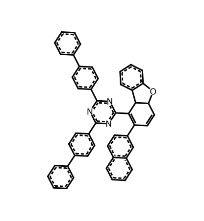 C1=CC2Oc3ccccc3C2C(c2nc(-c3ccc(-c4ccccc4)cc3)nc(-c3ccc(-c4ccccc4)cc3)n2)=C1c1ccc2ccccc2c1